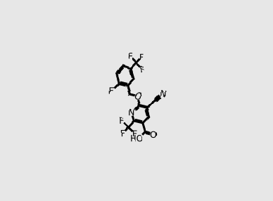 N#Cc1cc(C(=O)O)c(C(F)(F)F)nc1OCc1cc(C(F)(F)F)ccc1F